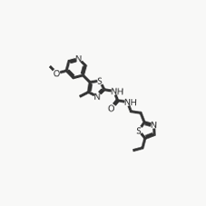 CCc1cnc(CCNC(=O)Nc2nc(C)c(-c3cncc(OC)c3)s2)s1